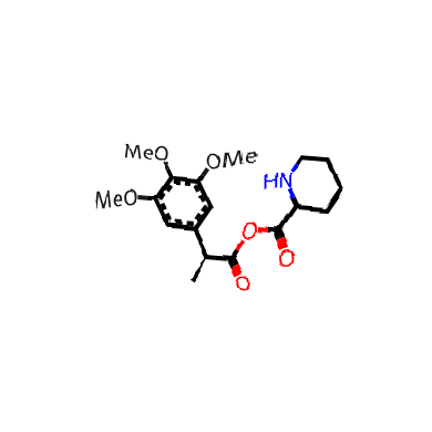 COc1cc([C@H](C)C(=O)OC(=O)C2CCCCN2)cc(OC)c1OC